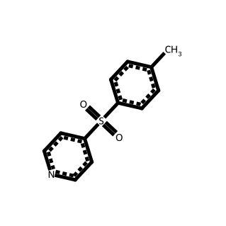 Cc1ccc(S(=O)(=O)c2ccncc2)cc1